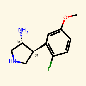 COc1ccc(F)c([C@H]2CNC[C@@H]2N)c1